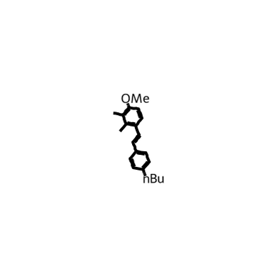 CCCCc1ccc(C=Cc2ccc(OC)c(C)c2C)cc1